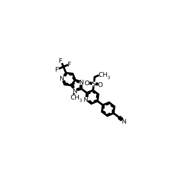 CCS(=O)(=O)c1cc(-c2ccc(C#N)cc2)cnc1-c1nc2cc(C(F)(F)F)ncc2n1C